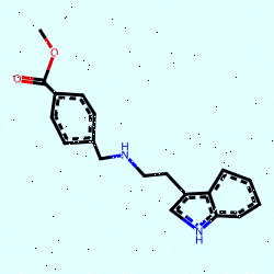 COC(=O)c1ccc(CNCCc2c[nH]c3ccccc23)cc1